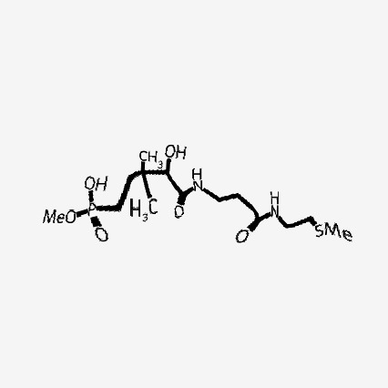 COP(=O)(O)CCC(C)(C)C(O)C(=O)NCCC(=O)NCCSC